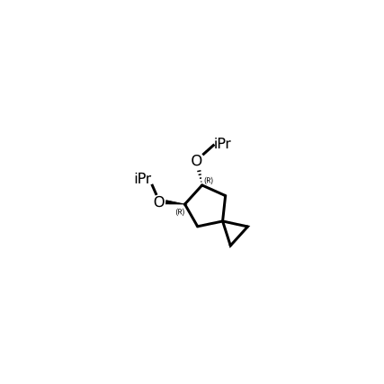 CC(C)O[C@@H]1CC2(CC2)C[C@H]1OC(C)C